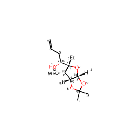 C=CC[C@@H](O)[C@]1(CC)O[C@@H]2OC(C)(C)O[C@@H]2[C@@H]1OC